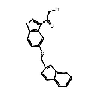 O=C(CCl)c1c[nH]c2ccc(OCc3ccc4ccccc4c3)cc12